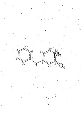 O=c1cc(Cc2ccccc2)cc[nH]1